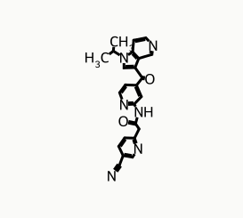 CC(C)n1cc(C(=O)c2ccnc(NC(=O)Cc3ccc(C#N)cn3)c2)c2cnccc21